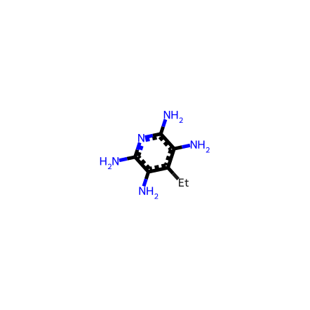 CCc1c(N)c(N)nc(N)c1N